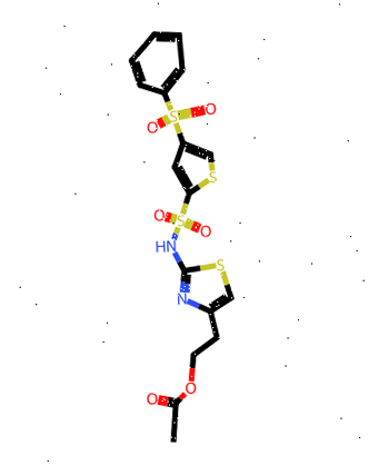 CC(=O)OCCc1csc(NS(=O)(=O)c2cc(S(=O)(=O)c3ccccc3)cs2)n1